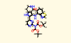 CC(C)(C)OC(=O)N(C(=O)OC(C)(C)C)c1nccc(-c2[nH]c3c(c2Nc2cccc4scnc24)C(=O)NCC3)n1